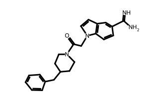 N=C(N)c1ccc2c(ccn2CC(=O)N2CCC(Cc3ccccc3)CC2)c1